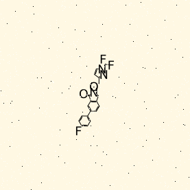 O=C1c2cc(-c3ccc(F)cc3)ccc2CN1OCc1ccn(C(F)F)n1